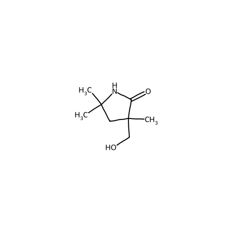 CC1(C)CC(C)(CO)C(=O)N1